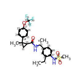 CCc1cc([C@@H](C)NC(=O)C2CC2(C)c2ccc(OC(F)(F)F)cc2)ccc1NS(C)(=O)=O